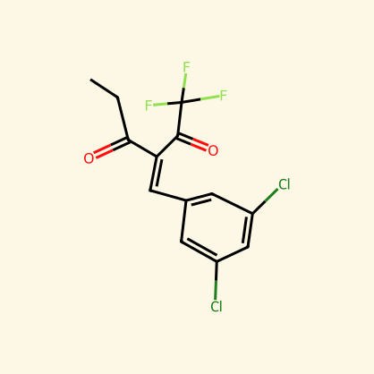 CCC(=O)C(=Cc1cc(Cl)cc(Cl)c1)C(=O)C(F)(F)F